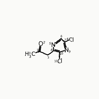 CC(=O)Cc1ncc(Cl)nc1Cl